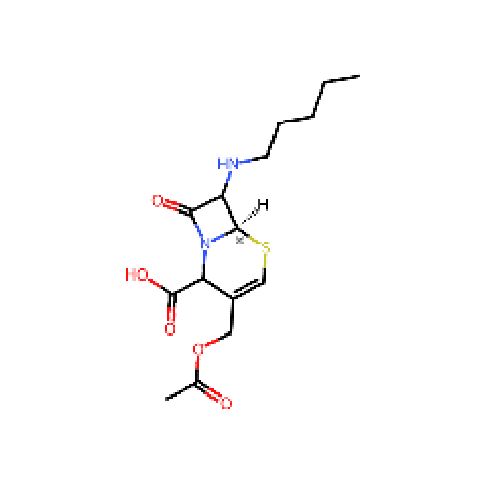 CCCCCNC1C(=O)N2C(C(=O)O)C(COC(C)=O)=CS[C@H]12